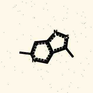 Cc1cc2nsc(C)c2cn1